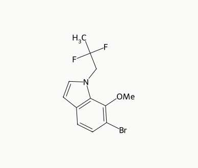 COc1c(Br)ccc2ccn(CC(C)(F)F)c12